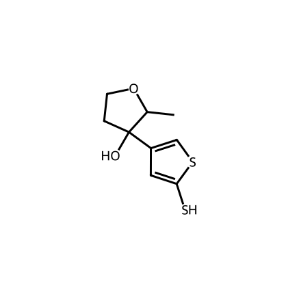 CC1OCCC1(O)c1csc(S)c1